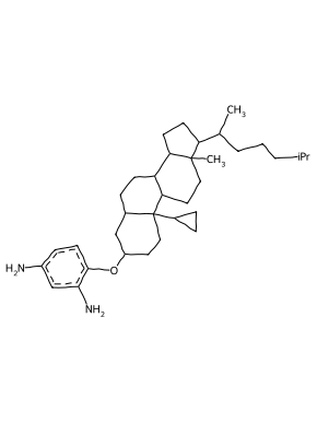 CC(C)CCCC(C)C1CCC2C3CCC4CC(Oc5ccc(N)cc5N)CCC4(C4CC4)C3CCC12C